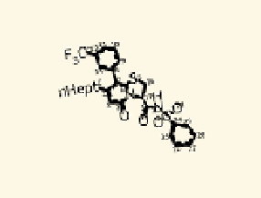 CCCCCCCc1cc(=O)n2c(c1-c1cccc(C(F)(F)F)c1)SC[C@H]2C(=O)NS(=O)(=O)c1ccccc1